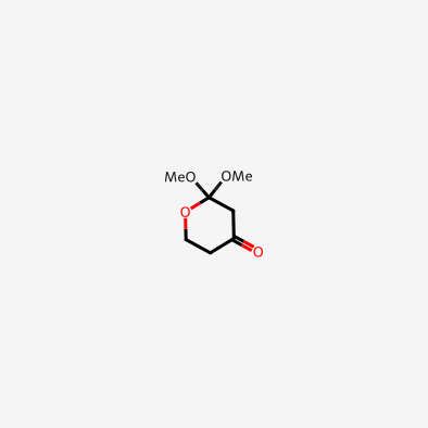 COC1(OC)CC(=O)CCO1